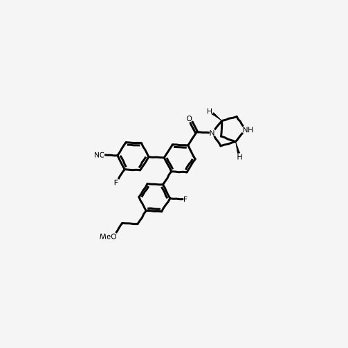 COCCc1ccc(-c2ccc(C(=O)N3C[C@@H]4C[C@H]3CN4)cc2-c2ccc(C#N)c(F)c2)c(F)c1